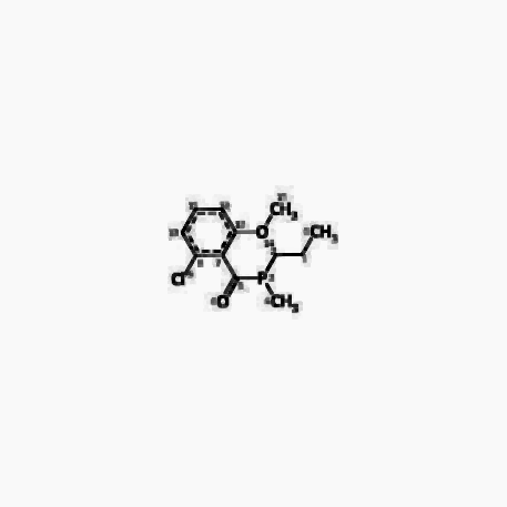 CCCP(C)C(=O)c1c(Cl)cccc1OC